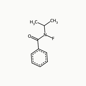 CC(C)N(F)C(=O)c1ccccc1